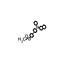 C=CC(=O)Oc1ccc(-c2ccc(N(c3ccccc3)c3ccc4ccccc4c3)cc2)cc1